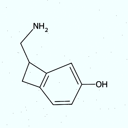 NCC1Cc2ccc(O)cc21